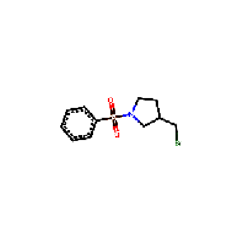 O=S(=O)(c1ccccc1)N1CCC(CBr)C1